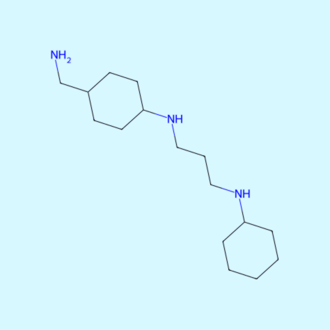 NCC1CCC(NCCCNC2CCCCC2)CC1